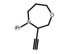 C#CC1COCCCN1C(C)C